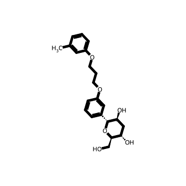 Cc1cccc(OCCCOc2cccc([C@H]3O[C@H](CO)[C@@H](O)C[C@@H]3O)c2)c1